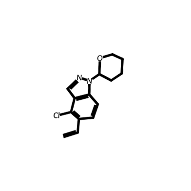 C=Cc1ccc2c(cnn2C2CCCCO2)c1Cl